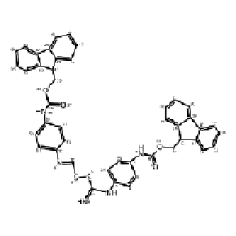 N=C(Nc1ccc(NC(=O)OCC2c3ccccc3-c3ccccc32)cc1)SSC=Nc1ccc(NC(=O)OCC2c3ccccc3-c3ccccc32)cc1